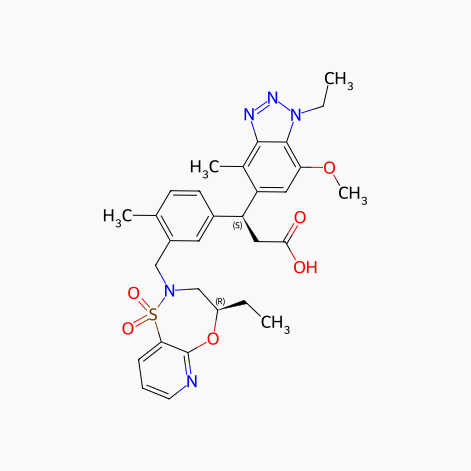 CC[C@@H]1CN(Cc2cc([C@H](CC(=O)O)c3cc(OC)c4c(nnn4CC)c3C)ccc2C)S(=O)(=O)c2cccnc2O1